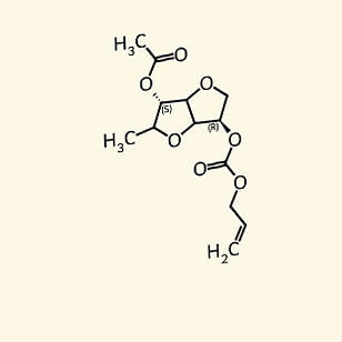 C=CCOC(=O)O[C@@H]1COC2C1OC(C)[C@@H]2OC(C)=O